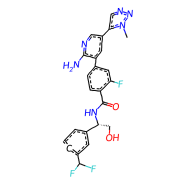 Cn1nncc1-c1cnc(N)c(-c2ccc(C(=O)N[C@H](CO)c3cccc(C(F)F)c3)c(F)c2)c1